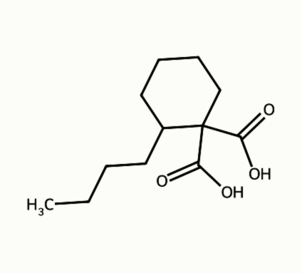 CCCCC1CCCCC1(C(=O)O)C(=O)O